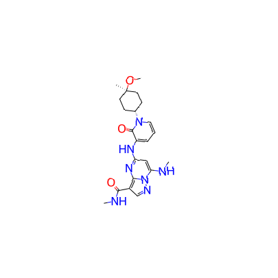 CNC(=O)c1cnn2c(NC)cc(Nc3cccn([C@H]4CC[C@](C)(OC)CC4)c3=O)nc12